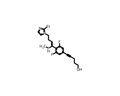 CCc1nccn1CC/C=C(\PC)c1c(F)cc(C#CCCCO)cc1F